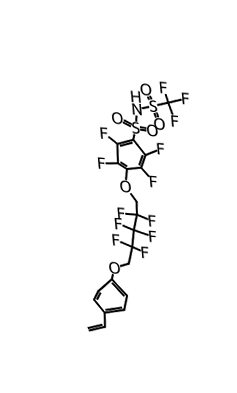 C=Cc1ccc(OCC(F)(F)C(F)(F)C(F)(F)COc2c(F)c(F)c(S(=O)(=O)NS(=O)(=O)C(F)(F)F)c(F)c2F)cc1